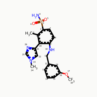 Cc1c(S(N)(=O)=O)ccc(NCc2cccc(OC(F)(F)F)c2)c1-c1cn(C)cn1